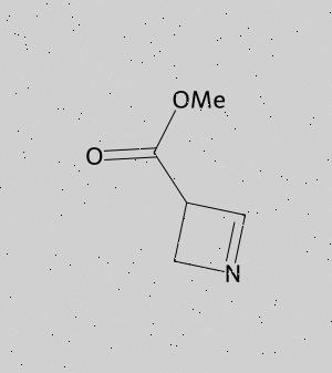 COC(=O)C1C=NC1